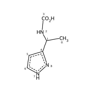 CC(NC(=O)O)c1cc[nH]n1